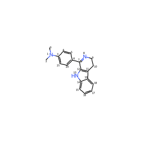 CN(C)c1ccc(C2=NCCc3c2[nH]c2ccccc32)cc1